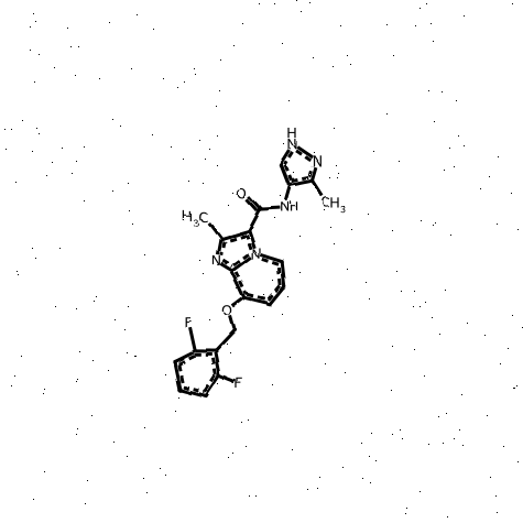 Cc1n[nH]cc1NC(=O)c1c(C)nc2c(OCc3c(F)cccc3F)cccn12